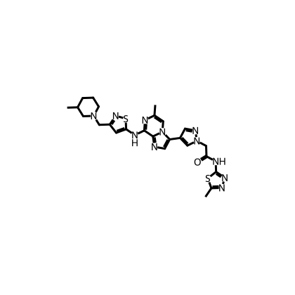 Cc1cn2c(-c3cnn(CC(=O)Nc4nnc(C)s4)c3)cnc2c(Nc2cc(CN3CCCC(C)C3)ns2)n1